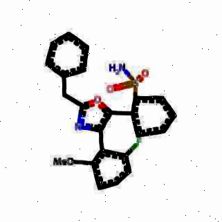 COc1cccc(F)c1-c1nc(Cc2ccccc2)oc1-c1ccccc1S(N)(=O)=O